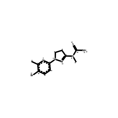 Cc1nc(N2CCC(N(C)C(N)=S)=N2)ccc1Br